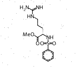 COC(=O)[C@H](CCCNC(=N)N)NS(=O)(=O)c1ccccc1